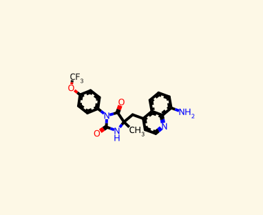 CC1(Cc2ccnc3c(N)cccc23)NC(=O)N(c2ccc(OC(F)(F)F)cc2)C1=O